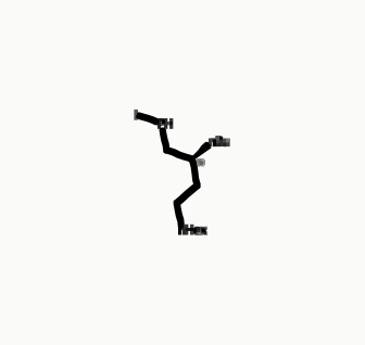 CCCCCCCC[C@H](CCCC)CPI